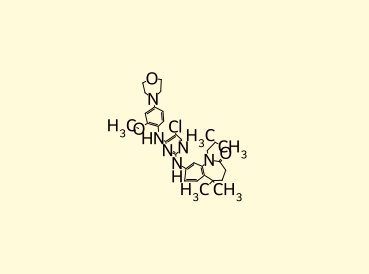 COc1cc(N2CCOCC2)ccc1Nc1nc(Nc2ccc3c(c2)N(CC(C)C)C(=O)CCC3(C)C)ncc1Cl